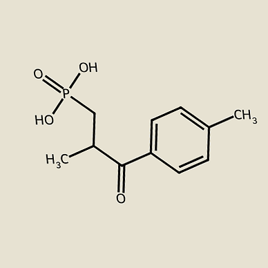 Cc1ccc(C(=O)C(C)CP(=O)(O)O)cc1